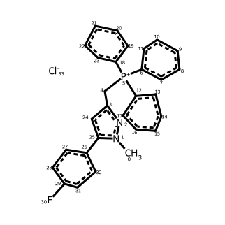 Cn1nc(C[P+](c2ccccc2)(c2ccccc2)c2ccccc2)cc1-c1ccc(F)cc1.[Cl-]